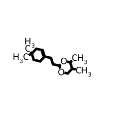 CC1COC(CCC2=CCC(C)(C)CC2)OC1C